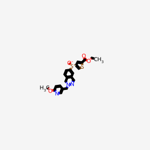 CCOC(=O)c1cc([S+]([O-])c2ccc3c(c2)C=NN(Cc2ccc(OC)nc2)C3)cs1